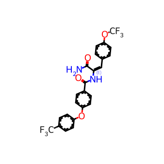 NC(=O)/C(=C\c1ccc(OC(F)(F)F)cc1)NC(=O)c1ccc(Oc2ccc(C(F)(F)F)cc2)cc1